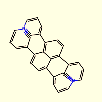 c1cncc(-c2ccc(-c3cccnc3)c3c(-c4cccnc4)ccc(-c4cccnc4)c23)c1